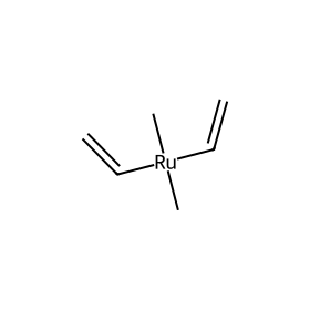 C=[CH][Ru]([CH3])([CH3])[CH]=C